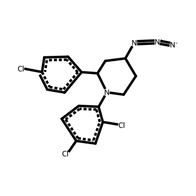 [N-]=[N+]=NC1CCN(c2ccc(Cl)cc2Cl)C(c2ccc(Cl)cc2)C1